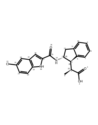 C[C@H](C(=O)O)[C@@H]1c2ccccc2C[C@H]1NC(=O)c1cc2cc(Cl)ccc2[nH]1